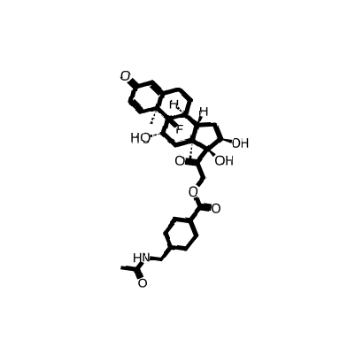 CC(=O)NCC1CCC(C(=O)OCC(=O)[C@@]2(O)[C@H](O)C[C@H]3[C@@H]4CCC5=CC(=O)C=C[C@]5(C)C4(F)[C@@H](O)C[C@@]32C)CC1